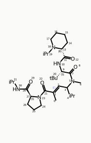 C/C(=C\C(C(C)C)N(C)C(=O)[C@@H](NC(=O)[C@H]1CCCCN1C(C)C)C(C)(C)C)C(=O)N1CCC[C@H]1C(=O)NC(C)C